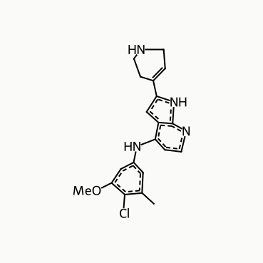 COc1cc(Nc2ccnc3[nH]c(C4=CCNCC4)cc23)cc(C)c1Cl